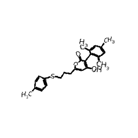 Cc1ccc(SCCCc2cc(O)c(-c3c(C)cc(C)cc3C)c(=O)o2)cc1